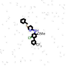 COc1cc(-c2cccc(C(F)(F)F)c2)c(Cl)cc1Nc1ccc(SCc2ccccc2)cn1